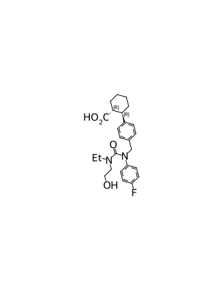 CCN(CCO)C(=O)N(Cc1ccc([C@@H]2CCCC[C@H]2C(=O)O)cc1)c1ccc(F)cc1